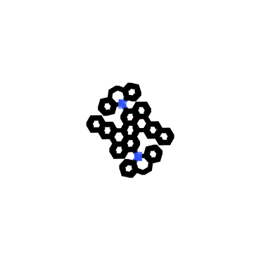 c1ccc(-c2cc3ccccc3cc2-c2c3ccc(N4c5ccccc5CCc5ccccc54)cc3c(-c3cc4ccccc4cc3-c3ccccc3)c3ccc(N4c5ccccc5CCc5ccccc54)cc23)cc1